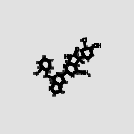 CC1(c2ccc(O)c(Cl)c2)C(=O)Nc2nc(-c3cn4ccnc4c(Cc4ccccc4F)n3)nc(N)c21